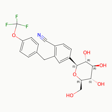 N#Cc1ccc([C@@H]2O[C@H](CO)[C@@H](O)[C@H](O)[C@H]2O)cc1Cc1ccc(OC(F)(F)F)cc1